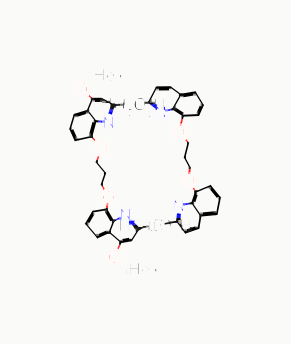 CCCCCCOc1cc(C(=O)O)nc2c(OCCCOc3cccc4c(OCCCCCC)cc(C(=O)O)nc34)cccc12.O=C(O)c1ccc2cccc(OCCCOc3cccc4ccc(C(=O)O)nc34)c2n1